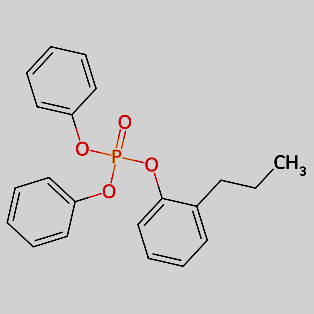 CCCc1ccccc1OP(=O)(Oc1ccccc1)Oc1ccccc1